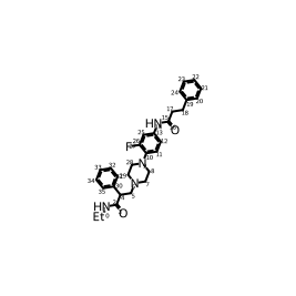 CCNC(=O)C(CN1CCN(c2ccc(NC(=O)CCc3ccccc3)cc2F)CC1)c1ccccc1